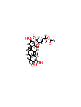 CC(=O)OC(C)(C)/C=C/C(=O)[C@@](C)(O)[C@H]1[C@H](O)C[C@@]2(C)[C@@H]3CC=C4[C@@H](C[C@H](O)[C@H](O)C4(C)C)[C@]3(C)CC[C@]12C